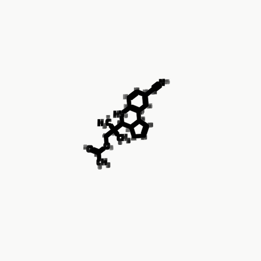 CC(=O)OCC(C)(C)C1Nc2ccc(C#N)cc2C2C=CCC21